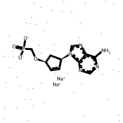 Nc1ncnc2c1ncn2[C@H]1C=C[C@@H](OCP(=O)([O-])[O-])C1.[Na+].[Na+]